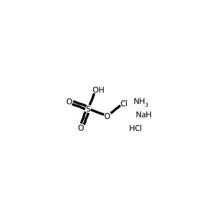 Cl.N.O=S(=O)(O)OCl.[NaH]